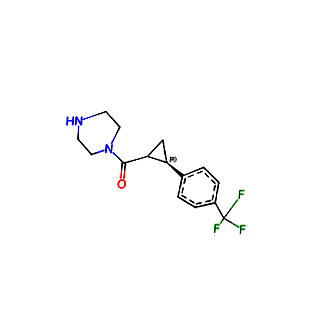 O=C(C1C[C@H]1c1ccc(C(F)(F)F)cc1)N1CCNCC1